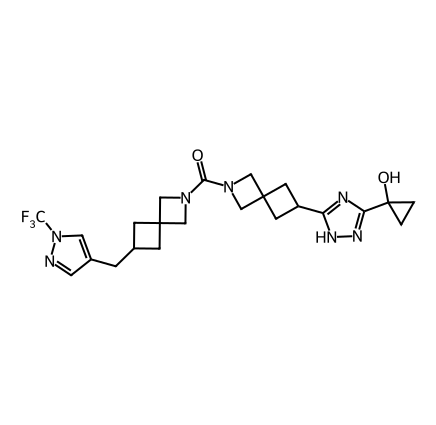 O=C(N1CC2(CC(Cc3cnn(C(F)(F)F)c3)C2)C1)N1CC2(CC(c3nc(C4(O)CC4)n[nH]3)C2)C1